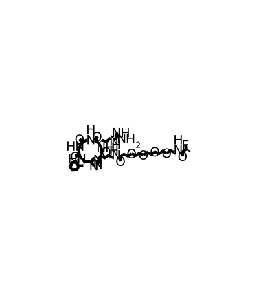 C[C@H](F)C(=O)NCCOCCOCCOCCOCCC(=O)NCCCC1C(=O)N[C@@H](CCCNC(=N)N)C(=O)NCC(=O)NCC(=O)N[C@@H](Cc2ccccc2)c2cn1nn2